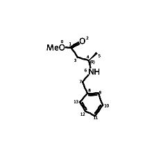 COC(=O)C[C@@H](C)NCc1ccccc1